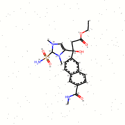 CCOC(=O)C[C@@](O)(C1=CN(C)C(S(N)(=O)=O)N1C)c1ccc2cc(C(=O)NC)ccc2c1